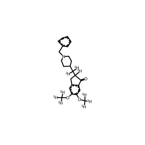 [2H]C([2H])([2H])Oc1cc2c(cc1OC([2H])([2H])[2H])C(=O)C([2H])(C([2H])([2H])C1CCN(Cc3ccccc3)CC1)C2